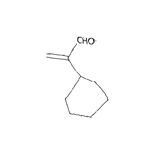 C=C([C]=O)C1CCCCC1